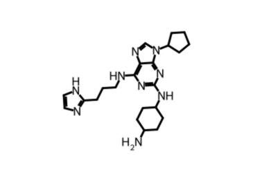 NC1CCC(Nc2nc(NCCCc3ncc[nH]3)c3ncn(C4CCCC4)c3n2)CC1